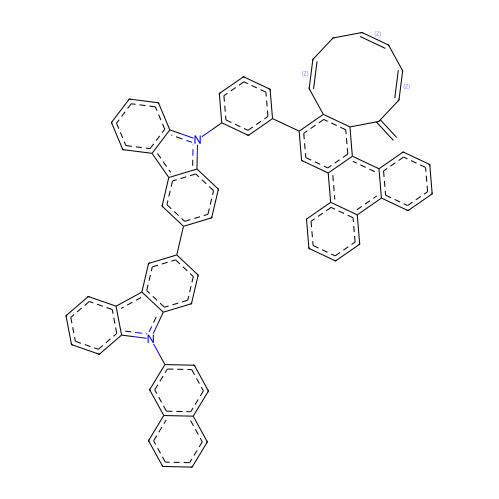 C=C1/C=C\C=C/C/C=C\c2c(-c3cccc(-n4c5ccccc5c5cc(-c6ccc7c(c6)c6ccccc6n7-c6ccc7ccccc7c6)ccc54)c3)cc3c4ccccc4c4ccccc4c3c21